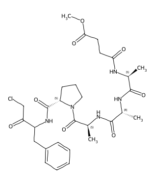 COC(=O)CCC(=O)N[C@@H](C)C(=O)N[C@H](C)C(=O)N[C@@H](C)C(=O)N1CCC[C@H]1C(=O)NC(Cc1ccccc1)C(=O)CCl